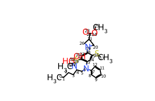 CCCCC1CN(c2ccccc2)c2cc(SC)c(N3CC(C(=O)OC)C3)cc2S(O)(O)N1C